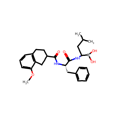 COc1cccc2c1CC(C(=O)N[C@@H](Cc1ccccc1)C(=O)NC(CC(C)C)B(O)O)CC2